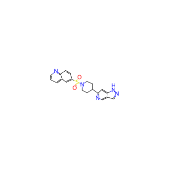 O=S(=O)(c1ccc2ncccc2c1)N1CCC(c2cc3[nH]ncc3cn2)CC1